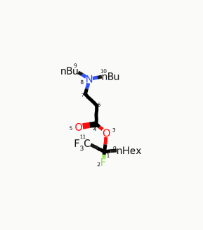 CCCCCCC(F)(OC(=O)CCN(CCCC)CCCC)C(F)(F)F